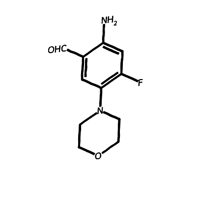 Nc1cc(F)c(N2CCOCC2)cc1C=O